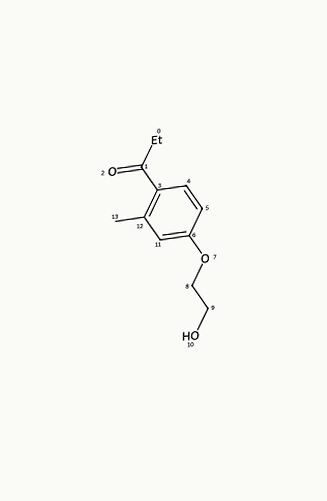 CCC(=O)c1ccc(OCCO)cc1C